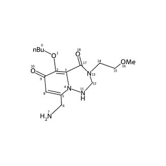 CCCCOc1c2n(c(CN)cc1=O)NCN(CCOC)C2=O